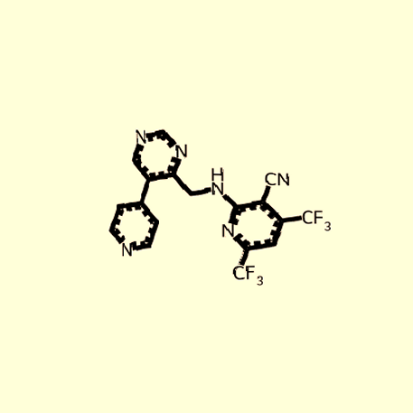 N#Cc1c(C(F)(F)F)cc(C(F)(F)F)nc1NCc1ncncc1-c1ccncc1